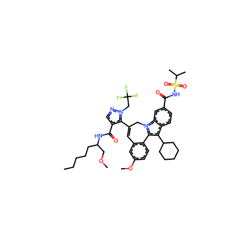 CCCCCC(COC)NC(=O)c1cnn(CC(F)(F)F)c1C1=Cc2cc(OC)ccc2-c2c(C3CCCCC3)c3ccc(C(=O)NS(=O)(=O)C(C)C)cc3n2C1